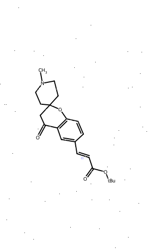 CN1CCC2(CC1)CC(=O)c1cc(/C=C/C(=O)OC(C)(C)C)ccc1O2